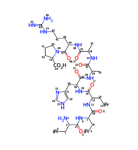 CC(C)CC(N)C(=O)NC(CC(C)C)C(=O)NC(CC(C)C)C(=O)NC(Cc1c[nH]cn1)C(=O)NC(C)C(=O)NC(C)C(=O)NC(CCCNC(=N)N)C(=O)N1CCCC1C(=O)O